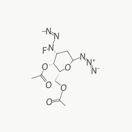 C/N=N\N(F)[C@@H]1CC(N=[N+]=[N-])O[C@H](COC(C)=O)[C@@H]1OC(C)=O